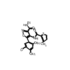 CCNC(=O)c1noc(-c2cc(Cl)c(O)cc2O)c1NC(=O)c1sccc1C